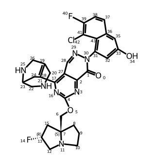 O=c1c2nc(OC[C@@]34CCCN3C[C@H](F)C4)nc(C3=C4CNCC(C3)NC4)c2cnn1-c1cc(O)cc2ccc(F)c(Cl)c12